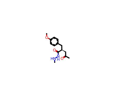 CNNC(=O)[C@H](CC(C)=O)Cc1ccc(OC)cc1